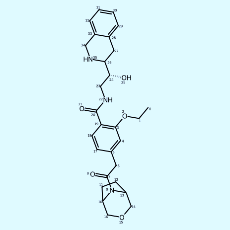 CCOc1cc(CC(=O)N2C3CCC2COC3)ccc1C(=O)NC[C@@H](O)C1Cc2ccccc2CN1